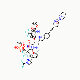 COC(=O)N[C@H](C(=O)N[C@@H](Cc1ccc(C#Cc2ccc(N3CC4CCC(C3)N4C3COC3)nc2)cc1)[C@@H](CCC(=O)OCOP(=O)(O)O)CN(Cc1c(F)cc(-c2ccn(C(F)F)n2)cc1F)NC(=O)[C@@H](NC(=O)OC)C(C)(C)C(F)(F)F)C(C)(C)C(F)(F)F